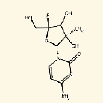 C[C@@]1(O)C(O)[C@@](F)(CO)O[C@H]1n1ccc(N)nc1=O